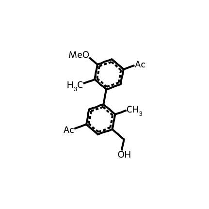 COc1cc(C(C)=O)cc(-c2cc(C(C)=O)cc(CO)c2C)c1C